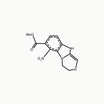 COC(=O)c1ccc2c(c1[N+](=O)[O-])N1CCOC=C1N2